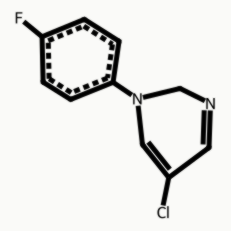 Fc1ccc(N2C=C(Cl)C=NC2)cc1